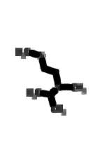 C[N]CCN(C)C(C)C